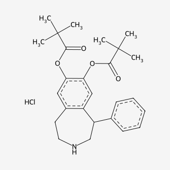 CC(C)(C)C(=O)Oc1cc2c(cc1OC(=O)C(C)(C)C)C(c1ccccc1)CNCC2.Cl